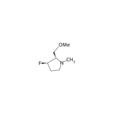 COC[C@@H]1[C@H](F)CCN1C